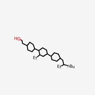 CCCCC(CC)CC1CCC(C2CCC(C3CCC(CCO)CC3)C(CC)C2)CC1